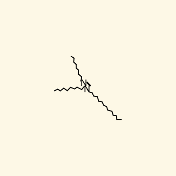 CCCCCCCCCCCCCCN1C=CN(CCCCCCCCC)C1CCCCCCCCC